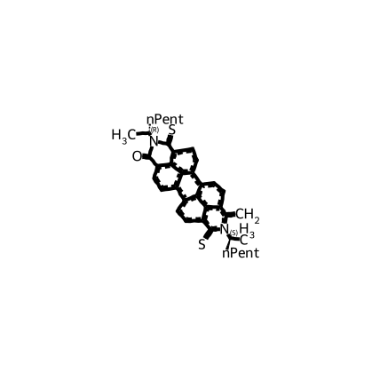 C=c1c2ccc3c4ccc5c6c(ccc(c7ccc(c(=S)n1[C@@H](C)CCCCC)c2c37)c64)C(=O)N([C@H](C)CCCCC)C5=S